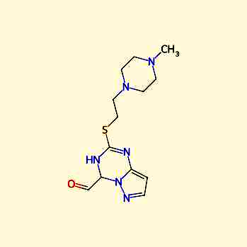 CN1CCN(CCSC2=Nc3ccnn3C(C=O)N2)CC1